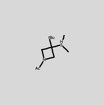 CC(=O)N1CC([SH](C)C)(C(C)(C)C)C1